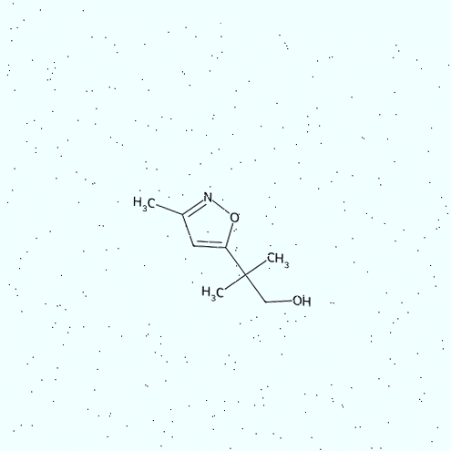 Cc1cc(C(C)(C)CO)on1